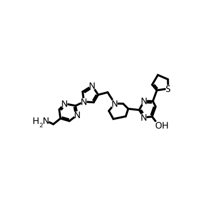 NCc1cnc(-n2cnc(CN3CCCC(c4nc(O)cc(C5=CCCS5)n4)C3)c2)nc1